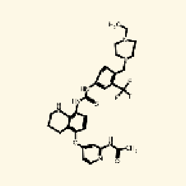 CCN1CCN(Cc2ccc(NC(=S)Nc3ccc(Oc4ccnc(NC(C)=O)c4)c4c3NCCC4)cc2C(F)(F)F)CC1